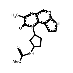 COC(=O)NC1CCC(n2c(=O)c(C)nc3cnc4[nH]ccc4c32)C1